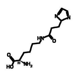 N[C@@H](CCCCNC(=O)CCC1N=CC=N1)C(=O)O